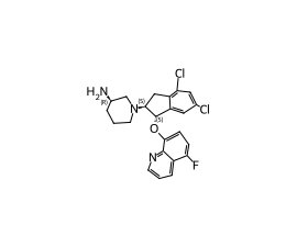 N[C@@H]1CCCN([C@H]2Cc3c(Cl)cc(Cl)cc3[C@@H]2Oc2ccc(F)c3cccnc23)C1